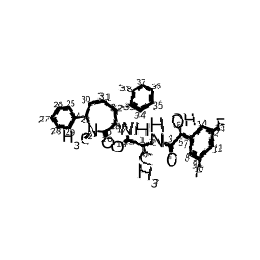 C[C@H](NC(=O)[C@@H](O)c1cc(F)cc(F)c1)C(=O)N[C@@H]1C(=O)N(C)[C@@H](c2ccccc2)CC[C@@H]1c1ccccc1